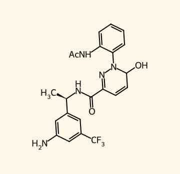 CC(=O)Nc1ccccc1N1N=C(C(=O)N[C@H](C)c2cc(N)cc(C(F)(F)F)c2)C=CC1O